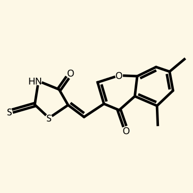 Cc1cc(C)c2c(=O)c(/C=C3/SC(=S)NC3=O)coc2c1